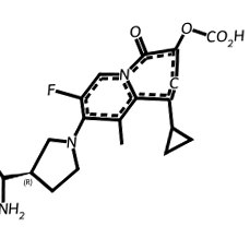 Cc1c(N2CC[C@@H](C(C)N)C2)c(F)cn2c(=O)c(OC(=O)O)cc(C3CC3)c12